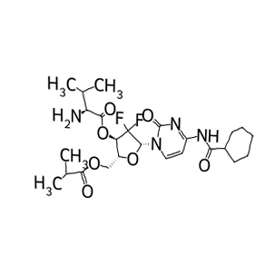 CC(C)C(=O)OC[C@H]1O[C@@H](n2ccc(NC(=O)C3CCCCC3)nc2=O)C(F)(F)[C@@H]1OC(=O)[C@@H](N)C(C)C